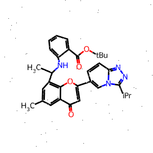 Cc1cc(C(C)Nc2ccccc2C(=O)OC(C)(C)C)c2oc(-c3ccc4nnc(C(C)C)n4c3)cc(=O)c2c1